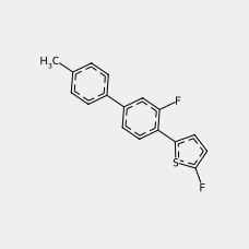 Cc1ccc(-c2ccc(-c3ccc(F)s3)c(F)c2)cc1